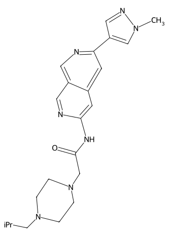 CC(C)CN1CCN(CC(=O)Nc2cc3cc(-c4cnn(C)c4)ncc3cn2)CC1